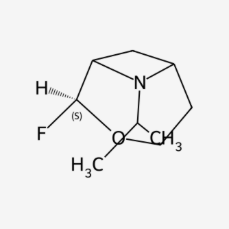 CC(C)N1C2CCO[C@@H](F)C1C2